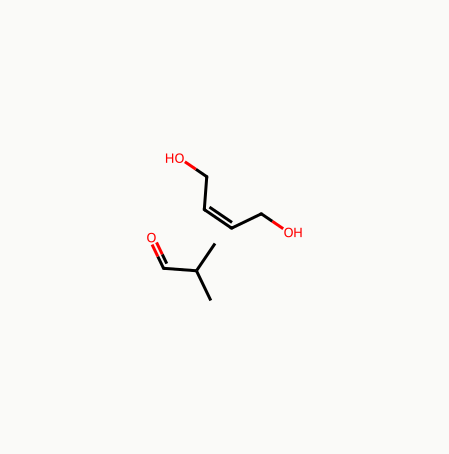 CC(C)C=O.OC/C=C\CO